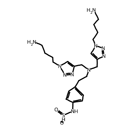 NCCCCn1cc(CN(CCc2ccc(N[SH](=O)=O)cc2)Cc2cn(CCCCN)nn2)nn1